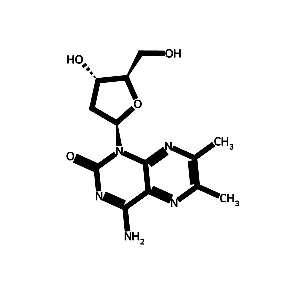 Cc1nc2c(N)nc(=O)n([C@H]3C[C@H](O)[C@@H](CO)O3)c2nc1C